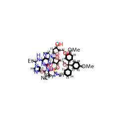 CCC(Nc1nc(NC(=O)C(C)C)nc2c1N=C[N+]2([C@@H]1C[C@H](O)[C@@H](CO)O1)[C@@H]1O[C@H](COC(c2ccccc2)(c2ccc(OC)cc2)c2ccc(OC)cc2)[C@@H](OP(OCCC#N)N(C(C)C)C(C)C)[C@H]1O)n1ccnc1